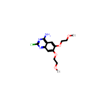 CCOCCOc1cc2nc(Cl)nc(N)c2cc1OCCOCC